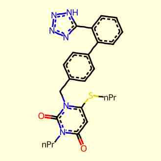 CCCSc1cc(=O)n(CCC)c(=O)n1Cc1ccc(-c2ccccc2-c2nnn[nH]2)cc1